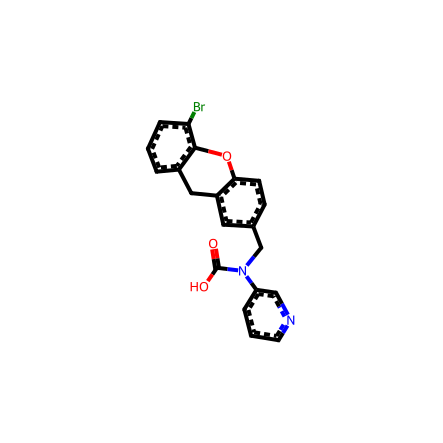 O=C(O)N(Cc1ccc2c(c1)Cc1cccc(Br)c1O2)c1cccnc1